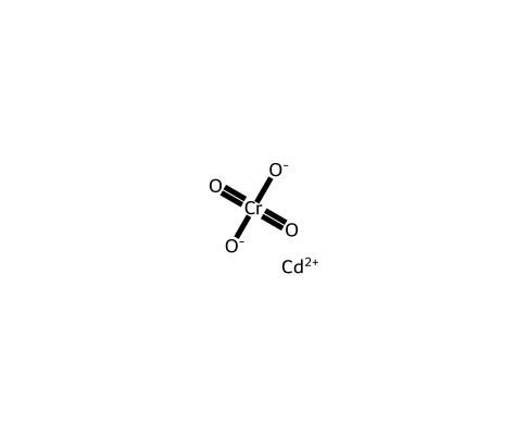 [Cd+2].[O]=[Cr](=[O])([O-])[O-]